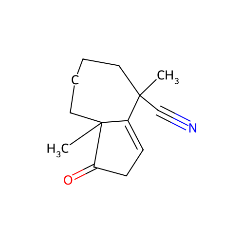 CC1(C#N)CCCCC2(C)C(=O)CC=C12